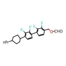 CCCC1CCC(c2ccc(-c3ccc(COC=O)c(F)c3F)c(F)c2F)CC1